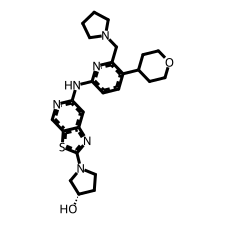 O[C@H]1CCN(c2nc3cc(Nc4ccc(C5CCOCC5)c(CN5CCCC5)n4)ncc3s2)C1